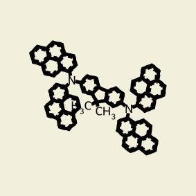 CC1(C)c2cc(N(c3ccc4ccc5cccc6ccc3c4c56)c3ccc4ccc5cccc6ccc3c4c56)ccc2-c2ccc(N(c3ccc4ccc5cccc6ccc3c4c56)c3ccc4ccc5cccc6ccc3c4c56)cc21